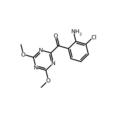 COc1nc(OC)nc(C(=O)c2cccc(Cl)c2N)n1